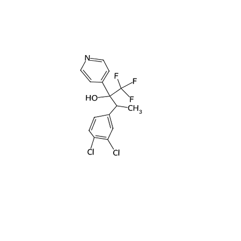 CC(c1ccc(Cl)c(Cl)c1)C(O)(c1ccncc1)C(F)(F)F